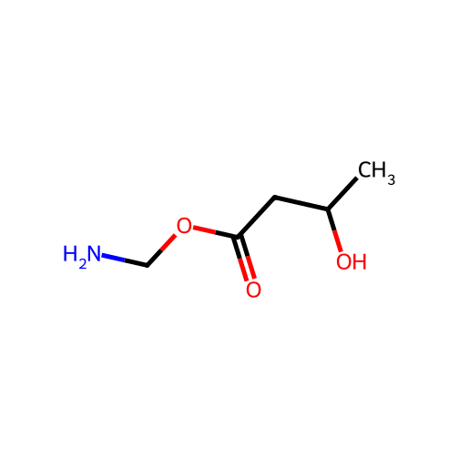 CC(O)CC(=O)OCN